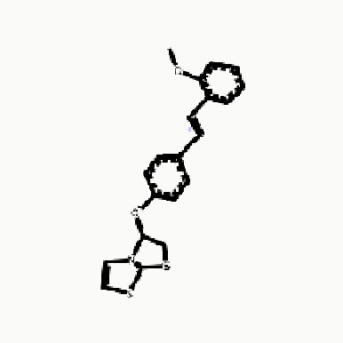 COc1ccccc1/C=C/c1ccc(OC2CSC3SC=CN23)cc1